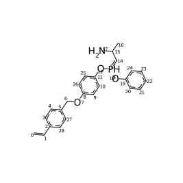 C=Cc1ccc(COc2ccc(O[PH](=CC(C)N)Oc3ccccc3)cc2)cc1